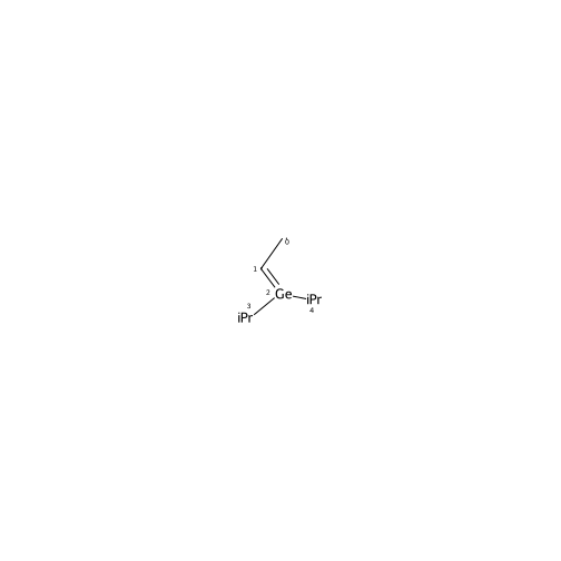 [CH2][CH]=[Ge]([CH](C)C)[CH](C)C